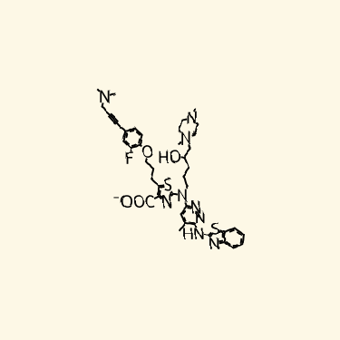 Cc1cc(N(CCCC(O)C[N+]2(C)CCN(C)CC2)c2nc(C(=O)[O-])c(CCCOc3ccc(C#CCN(C)C)cc3F)s2)nnc1Nc1nc2ccccc2s1